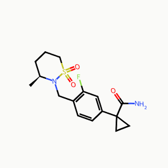 C[C@H]1CCCS(=O)(=O)N1Cc1ccc(C2(C(N)=O)CC2)cc1F